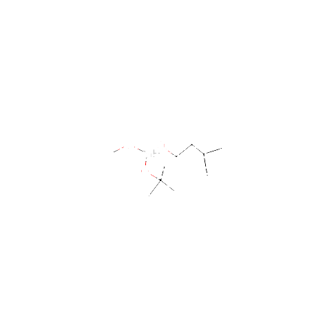 CO[SiH](OCCC(C)C)OC(C)(C)C